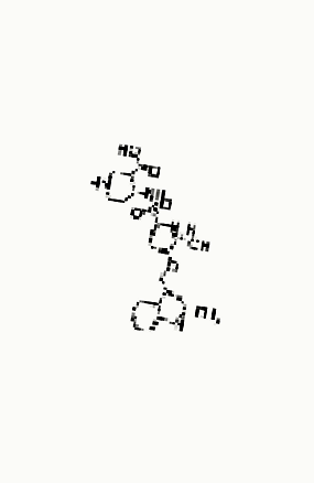 Cc1cc(COc2ccc(S(=O)(=O)NC3CCNCC3C(=O)O)cc2)c2ccccc2n1.NO